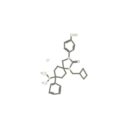 CN(C)C1(c2ccccc2)CCC2(CC1)CN(c1ccc(C(=O)[O-])cc1)C(=O)N2CC1CCC1.[Li+]